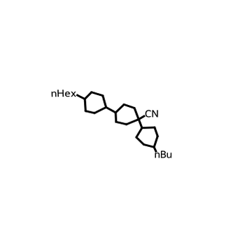 CCCCCCC1CCC(C2CCC(C#N)(C3CCC(CCCC)CC3)CC2)CC1